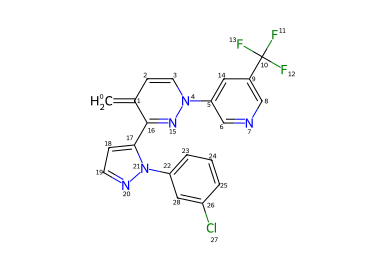 C=C1C=CN(c2cncc(C(F)(F)F)c2)N=C1c1ccnn1-c1cccc(Cl)c1